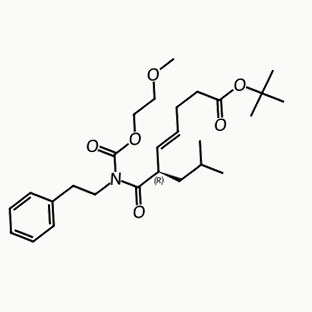 COCCOC(=O)N(CCc1ccccc1)C(=O)[C@@H](C=CCCC(=O)OC(C)(C)C)CC(C)C